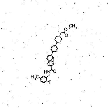 CCOC(=O)CC1CCC(c2ccc(-c3ccc4nc(C(=O)NCc5cc(C)ccc5F)cn4c3)cc2)CC1